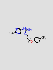 CC(C)(CCNC(=N)Nc1cnc(C(F)(F)F)nc1)Oc1ccc(C(F)(F)F)cc1